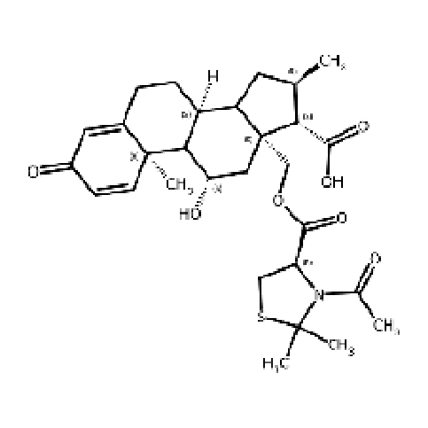 CC(=O)N1[C@H](C(=O)OC[C@]23C[C@H](O)C4[C@@H](CCC5=CC(=O)C=C[C@@]54C)C2C[C@@H](C)[C@@H]3C(=O)O)CSC1(C)C